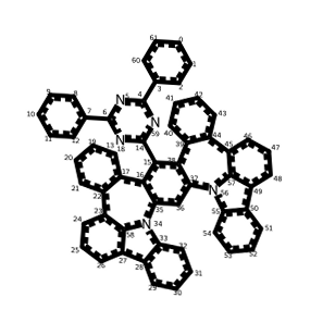 c1ccc(-c2nc(-c3ccccc3)nc(-c3c4c5ccccc5c5cccc6c7ccccc7n(c4cc4c3c3ccccc3c3cccc7c8ccccc8n4c37)c56)n2)cc1